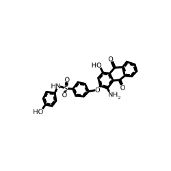 Nc1c(Oc2ccc(S(=O)(=O)Nc3ccc(O)cc3)cc2)cc(O)c2c1C(=O)c1ccccc1C2=O